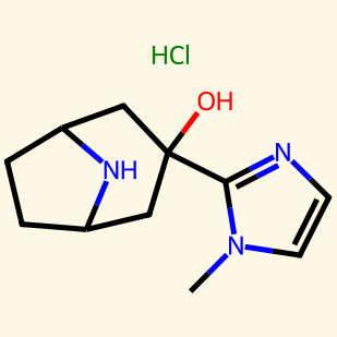 Cl.Cn1ccnc1C1(O)CC2CCC(C1)N2